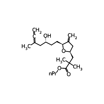 C=C=C(C)C[C@H](O)CC[C@@H]1O[C@H](CC(C)(C)C(=O)OCCC)CC1=C